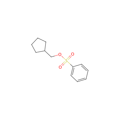 O=S(=O)(OCC1CCCC1)c1ccccc1